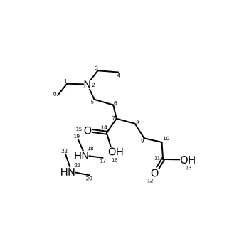 CCN(CC)CCC(CCCC(=O)O)C(=O)O.CNC.CNC